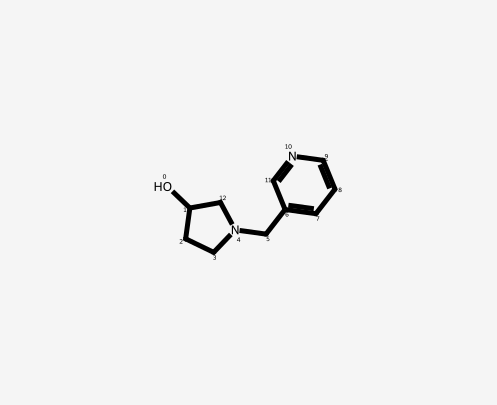 OC1CCN(Cc2cc[c]nc2)C1